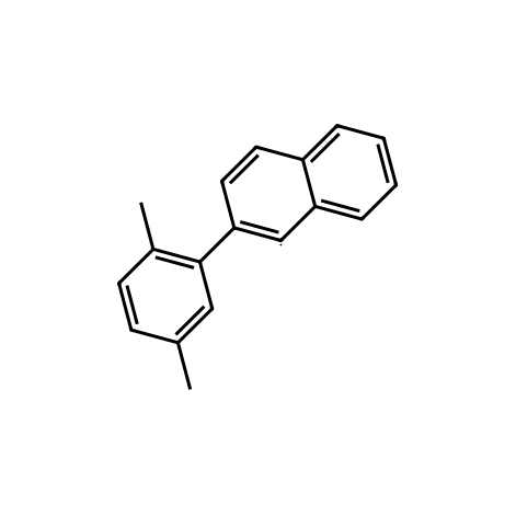 Cc1ccc(C)c(-c2[c]c3ccccc3cc2)c1